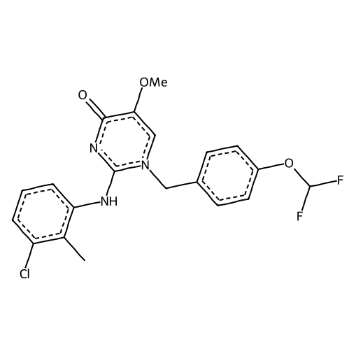 COc1cn(Cc2ccc(OC(F)F)cc2)c(Nc2cccc(Cl)c2C)nc1=O